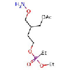 CCOP(=O)(CC)OCCC(CON)COC(C)=O